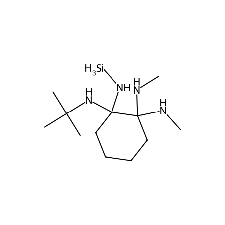 CNC1(NC)CCCCC1(N[SiH3])NC(C)(C)C